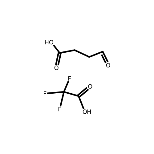 O=C(O)C(F)(F)F.O=CCCC(=O)O